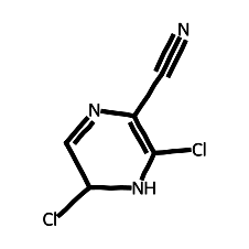 N#CC1=C(Cl)NC(Cl)C=N1